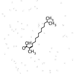 CC(=CCCCCCCCCCC(C)C)C(=O)O